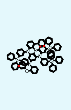 c1ccc(-c2cccc3c2B2c4ccc([Si](c5ccccc5)(c5ccccc5)c5ccccc5)cc4N(c4cccc([Si](c5ccccc5)(c5ccccc5)c5ccccc5)c4)c4cc(N5c6ccccc6Oc6ccccc65)cc(c42)N3c2cccc([Si](c3ccccc3)(c3ccccc3)c3ccccc3)c2)cc1